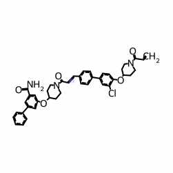 C=CC(=O)N1CCC(Oc2ccc(-c3ccc(/C=C/C(=O)N4CCC(Oc5cc(C(N)=O)cc(-c6ccccc6)c5)CC4)cc3)cc2Cl)CC1